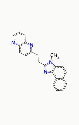 Cn1c(CCc2ccc3ncccc3n2)nc2c3ccccc3ccc21